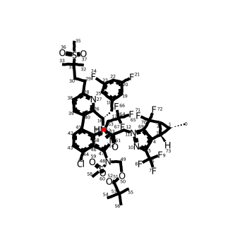 C[C@H]1C2[C@H]1c1c(C(F)(F)F)nn(CC(=O)N[C@@H](Cc3cc(F)cc(F)c3)c3nc(CCC(C)(C)S(C)(=O)=O)ccc3-c3ccc(Cl)c4c(N(COC(=O)C(C)(C)C)S(C)(=O)=O)nn(CC(F)(F)F)c34)c1C2(F)F